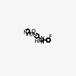 Cc1ncccc1OC(=O)N1CCC(c2nc(-c3cccc(F)c3)n[nH]2)CC1